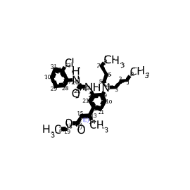 CCCCN(CCCC)c1ccc(/C(C)=C/C(=O)OCC)cc1NC(=O)Nc1ccccc1Cl